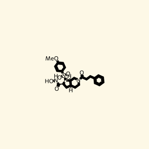 COC1=CCC(S(=O)(=O)N2[C@H](C(=O)NO)C[C@@H]3CCN(C(=O)CCc4ccccc4)C[C@@H]32)C=C1